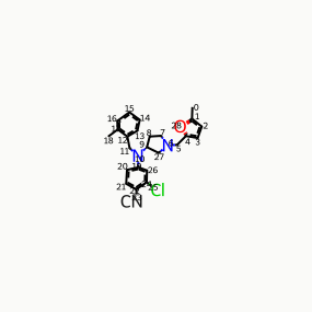 Cc1ccc(CN2CC[C@H](N(Cc3ccccc3C)c3ccc(C#N)c(Cl)c3)C2)o1